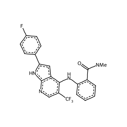 CNC(=O)c1ccccc1Nc1c(C(F)(F)F)cnc2[nH]c(-c3ccc(F)cc3)cc12